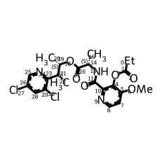 CCC(=O)Oc1c(OC)ccnc1C(=O)N[C@@H](C)C(=O)O[C@@H](C)[C@@H](C)c1ncc(Cl)cc1Cl